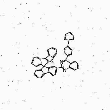 c1ccc(-c2ccc(-c3nc(-c4ccc5c(c4)C4(c6ccccc6-5)c5ccccc5-c5c4sc4ccccc54)nc4ccccc34)cc2)cc1